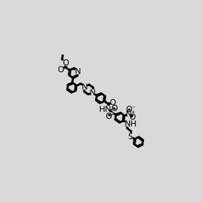 CCOC(=O)c1cncc(-c2ccccc2CN2CCN(c3ccc(C(=O)NS(=O)(=O)c4ccc(NCCSc5ccccc5)c([N+](=O)[O-])c4)cc3)CC2)c1